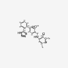 Cc1cc(NCc2ccc(-c3ccccc3-c3nnn[nH]3)cc2)c(Cl)c(C)n1.Cl